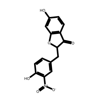 O=C1c2ccc(O)cc2OC1Cc1ccc(O)c([N+](=O)[O-])c1